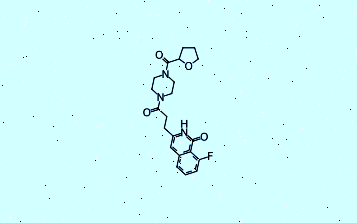 O=C(CCc1cc2cccc(F)c2c(=O)[nH]1)N1CCN(C(=O)C2CCCO2)CC1